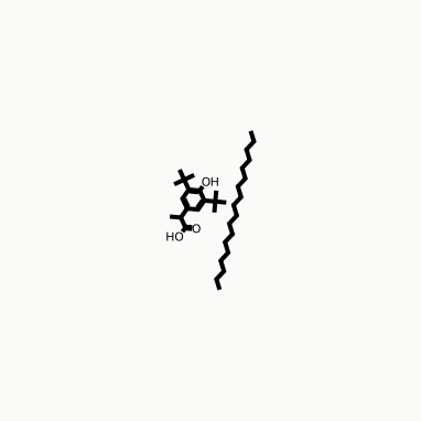 CC(C(=O)O)c1cc(C(C)(C)C)c(O)c(C(C)(C)C)c1.CCCCCCCCCCCCCCCCCC